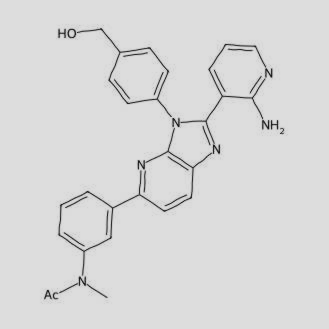 CC(=O)N(C)c1cccc(-c2ccc3nc(-c4cccnc4N)n(-c4ccc(CO)cc4)c3n2)c1